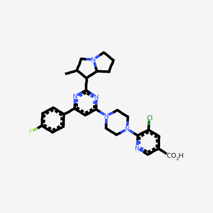 CC1CN2CCCC2C1c1nc(-c2ccc(F)cc2)cc(N2CCN(c3ncc(C(=O)O)cc3Cl)CC2)n1